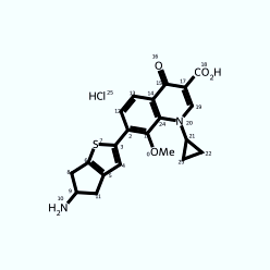 COc1c(-c2cc3c(s2)CC(N)C3)ccc2c(=O)c(C(=O)O)cn(C3CC3)c12.Cl